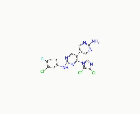 Nc1ncc(-c2cnc(Nc3ccc(F)c(Cl)c3)nc2-n2cnc(Cl)c2Cl)cn1